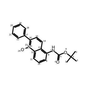 CC(C)(C)OC(=O)Nc1cccc2c1ccc(-c1ccccc1)[n+]2[O-]